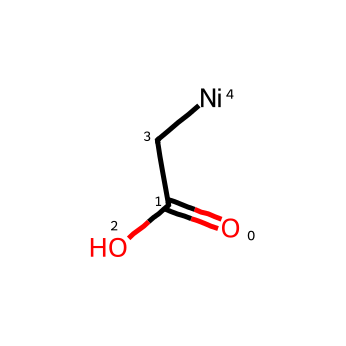 O=C(O)[CH2][Ni]